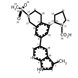 Cc1c[nH]c2ncc(-c3cc4c(c([C@@H]5CCCN5C(=O)O)c3)CCN(S(C)(=O)=O)C4)cc12